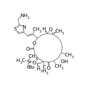 C/C(=C\c1csc(CN)n1)C1C[C@@H]2O[C@]2(C)CCCC(C)[C@H](O)C(C)C(=O)C(C)(C)C(O[Si](C)(C)C(C)(C)C)CC(=O)O1